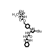 CN(C)S(=O)(=O)NC(=O)OCc1ccc(-n2nc(C(C)(C)C)cc2NC(=O)Nc2nc3ccccc3[nH]2)cc1